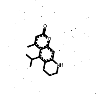 Cc1cc(=O)oc2cc3c(c(C(C)C)c12)CCCN3